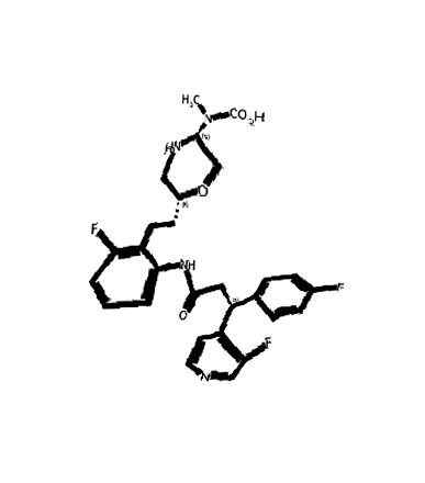 CN(C(=O)O)[C@H]1CO[C@H](CCc2c(F)cccc2NC(=O)C[C@@H](c2ccc(F)cc2)c2ccncc2F)CN1